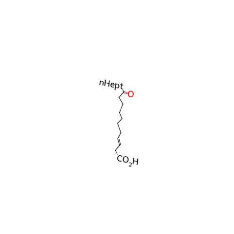 CCCCCCCC(=O)CCCCCCC=CCC(=O)O